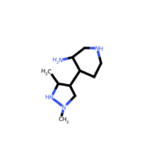 CC1NN(C)CC1C1CCNCC1N